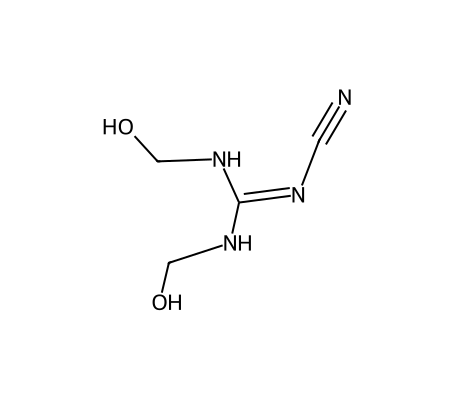 N#CN=C(NCO)NCO